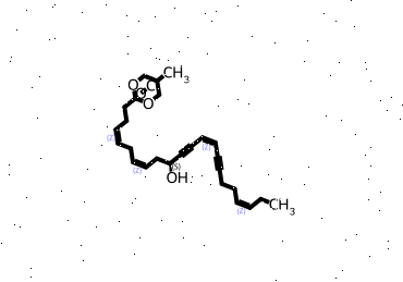 CC/C=C\CCC#C/C=C\C#C[C@@H](O)C/C=C\C/C=C\CCC12OCC(C)(CO1)CO2